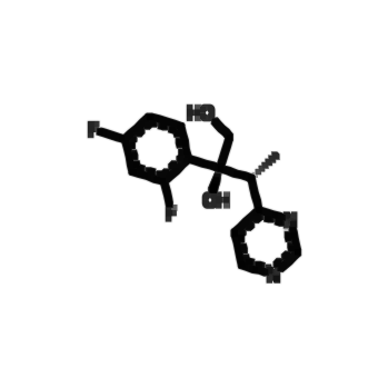 C[C@H](c1ccncn1)[C@@](O)(CO)c1ccc(F)cc1F